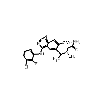 COc1cc2ncnc(Nc3cccc(Cl)c3F)c2cc1C(C)N(C)CC(N)=O